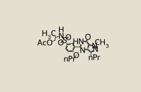 CCCOc1ccc(S(=O)(=O)NC(C)COC(C)=O)cc1-c1nc2c(CCC)nn(C)c2c(=O)[nH]1